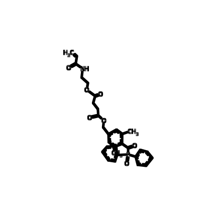 C=CC(=O)NCCOC(=O)CCC(=O)OCc1cc(C)c(C(=O)P(=O)(c2ccccc2)c2ccccc2)c(C)c1